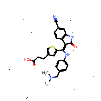 CN(C)Cc1ccc(N/C(=C2\C(=O)Nc3cc(C#N)ccc32)c2cc(CCC(=O)O)cs2)cc1